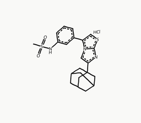 CS(=O)(=O)Nc1cccc(-c2csc3nc(C45CC6CC(CC(C6)C4)C5)cn23)c1.Cl